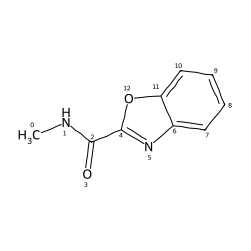 CNC(=O)c1nc2ccccc2o1